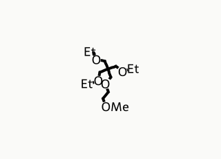 CCOCC(COCC)(COCC)COCCOC